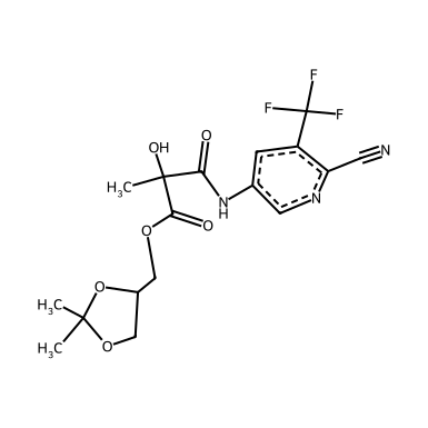 CC1(C)OCC(COC(=O)C(C)(O)C(=O)Nc2cnc(C#N)c(C(F)(F)F)c2)O1